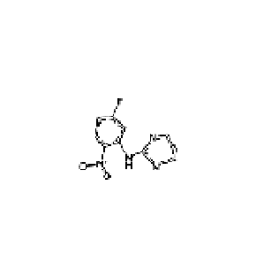 O=[N+]([O-])c1ccc(F)cc1Nc1ncccn1